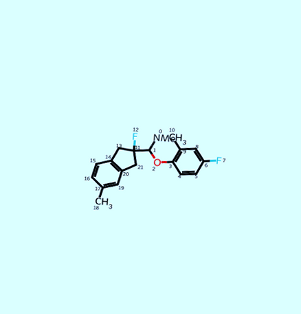 CNC(Oc1ccc(F)cc1C)C1(F)Cc2ccc(C)cc2C1